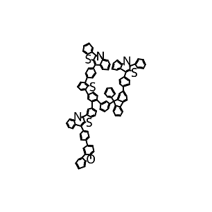 c1ccc(C2(c3cccc(-c4cc5sc6c(-c7ccc(-c8c9ccccc9nc9c8sc8ccccc89)cc7)cccc6c5cc4-c4ccc5sc6c(-c7ccc(-c8ccc9oc%10ccccc%10c9c8)cc7)c7ccccc7nc6c5c4)c3)c3ccccc3-c3ccc(-c4ccc(-c5c6ccccc6nc6c5sc5ccccc56)cc4)cc32)cc1